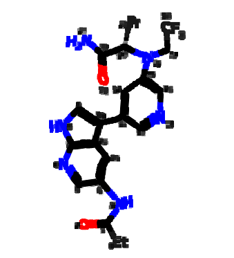 CCC(=O)Nc1cnc2[nH]cc(-c3cncc(N(CC(F)(F)F)[C@H](C(N)=O)C(C)C)c3)c2c1